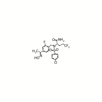 C/C(=N\O)c1ccc(CN([C@H](CCC(F)(F)F)C(N)=O)S(=O)(=O)c2ccc(Cl)cc2)c(F)c1